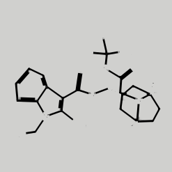 CCn1c(C)c(C(=O)NC[C@@H]2C[C@H]3CC[C@@H](C2)N3CC(=O)NC(C)(C)C)c2ccccc21